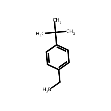 BCc1ccc(C(C)(C)C)cc1